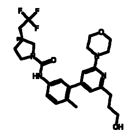 Cc1ccc(NC(=O)N2CC[C@@H](CC(F)(F)F)C2)cc1-c1cc(CCCO)nc(N2CCOCC2)c1